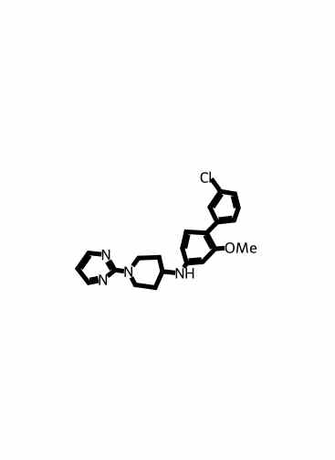 COc1cc(NC2CCN(c3ncccn3)CC2)ccc1-c1cccc(Cl)c1